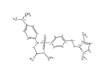 CCC(C)CN(c1ccc(C(C)C)cn1)S(=O)(=O)c1ccc(OCc2c(C)noc2C)cc1